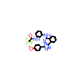 COc1ccc(-c2nnc3c4ccccc4c(Nc4cccc(NC(=O)C(F)(F)F)c4)nn23)cc1